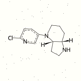 Clc1ccc(N2CCC[C@@H]3NCC[C@@H]32)cn1